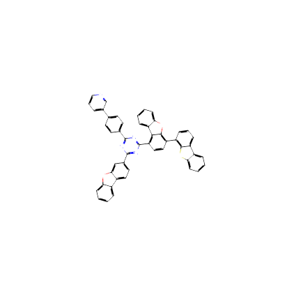 c1cncc(-c2ccc(-c3nc(-c4ccc5c(c4)oc4ccccc45)nc(-c4ccc(-c5cccc6c5sc5ccccc56)c5oc6ccccc6c45)n3)cc2)c1